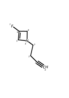 C#CCCN1C=C(F)C1